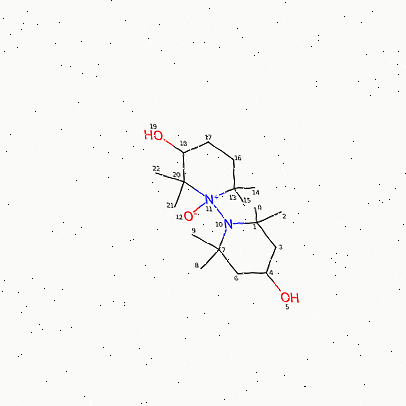 CC1(C)CC(O)CC(C)(C)N1[N+]1([O-])C(C)(C)CCC(O)C1(C)C